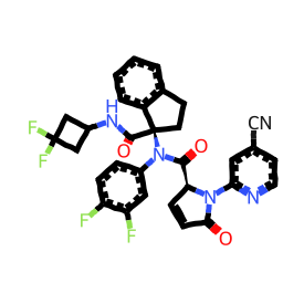 N#Cc1ccnc(N2C(=O)C=C[C@H]2C(=O)N(c2ccc(F)c(F)c2)[C@]2(C(=O)NC3CC(F)(F)C3)CCc3ccccc32)c1